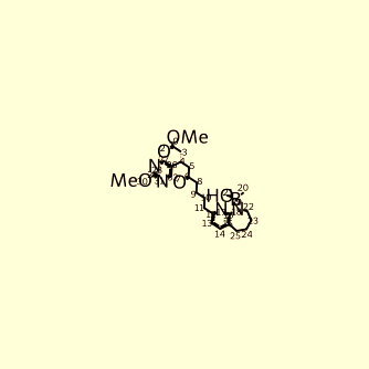 COC(=O)C[C@H](CC(=O)CCCCc1ccc2c(n1)N(B(C)O)CCCC2)c1cnc(OC)nc1